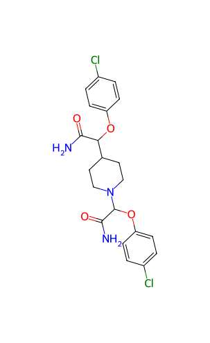 NC(=O)C(Oc1ccc(Cl)cc1)C1CCN(C(Oc2ccc(Cl)cc2)C(N)=O)CC1